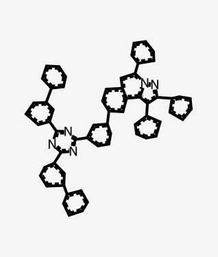 c1ccc(-c2cccc(-c3nc(-c4cccc(-c5ccccc5)c4)nc(-c4cccc(-c5ccc6cc(-c7ccccc7)n7nc(-c8ccccc8)c(-c8ccccc8)c7c6c5)c4)n3)c2)cc1